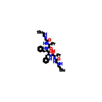 CC(C)[C@H](NC(=O)CNCCC(C)(C)C)C(=O)N[C@@H](Cc1ccccc1)C(O)[C@H](Cc1ccccc1)NC(=O)[C@@H](NC(=O)CNCCC(C)(C)C)C(C)C